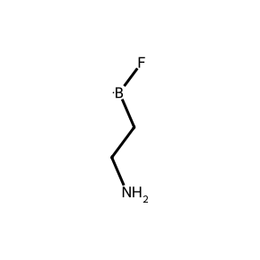 NCC[B]F